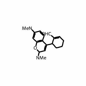 CNc1ccc2c(c1)OC(NC)C=C2C1CCCC=C1C=O